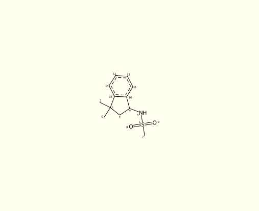 CC1(C)CC(NS(C)(=O)=O)c2ccccc21